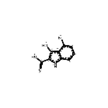 O=C(O)c1[nH]c2cccc(Br)c2c1O